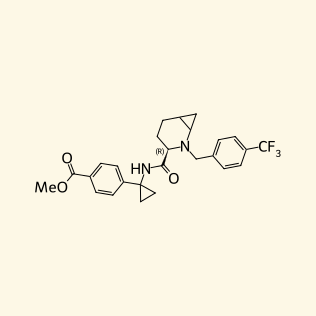 COC(=O)c1ccc(C2(NC(=O)[C@H]3CCC4CC4N3Cc3ccc(C(F)(F)F)cc3)CC2)cc1